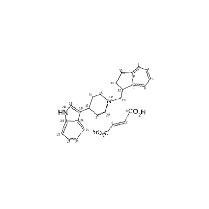 O=C(O)C=CC(=O)O.c1ccc2c(c1)CCC2CN1CCC(c2c[nH]c3ccccc23)CC1